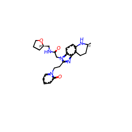 C[C@H]1CCc2c(ccc3c2nc(CCn2ccccc2=O)n3CC(=O)NC[C@H]2CCCO2)N1